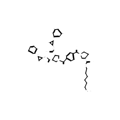 CCCCCCCCCCCCCCCCNC(=O)[C@@H]1CCN(C(=O)c2ccc(C(=O)N3C[C@@H](C(=O)N[C@H]4C[C@@H]4c4ccccc4)[C@H](C(=O)N[C@H]4C[C@@H]4c4ccccc4)C3)cc2)C1